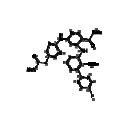 CNC(=O)Cc1ccc(Nc2cc(Nc3cccc(-c4ncc(F)cn4)c3OC)c(C(=O)NC)cn2)nc1